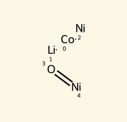 [Co].[Li].[Ni].[O]=[Ni]